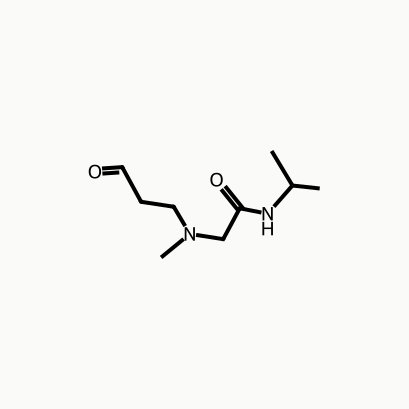 CC(C)NC(=O)CN(C)CCC=O